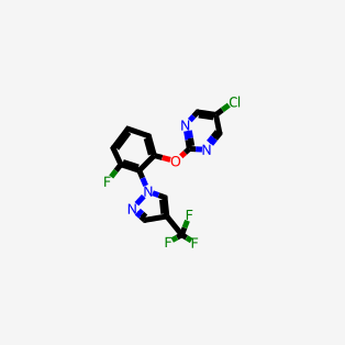 Fc1cccc(Oc2ncc(Cl)cn2)c1-n1cc(C(F)(F)F)cn1